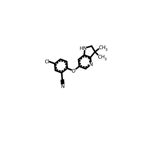 CC1(C)CNc2cc(Oc3ccc(Cl)cc3C#N)cnc21